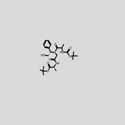 CC(NC(=O)OC(C)(C)C)C(=O)N(CC(=O)N[C@@H](C)C(=O)OC(C)(C)C)[C@H](CO)c1ccccc1